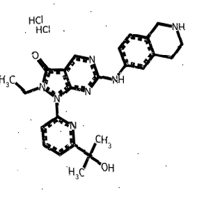 CCn1c(=O)c2cnc(Nc3ccc4c(c3)CCNC4)nc2n1-c1cccc(C(C)(C)O)n1.Cl.Cl